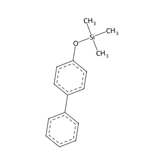 C[Si](C)(C)Oc1ccc(-c2ccccc2)cc1